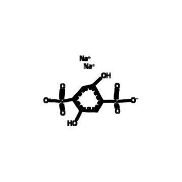 O=S(=O)([O-])c1cc(O)c(S(=O)(=O)[O-])cc1O.[Na+].[Na+]